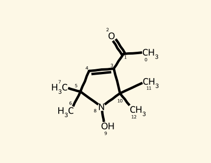 CC(=O)C1=CC(C)(C)N(O)C1(C)C